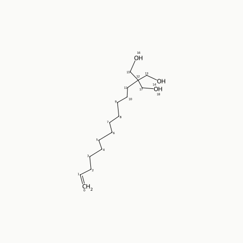 C=CCCCCCCCCCCC(CO)(CO)CO